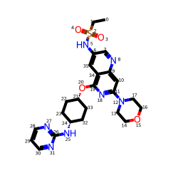 CCS(=O)(=O)Nc1cnc2cc(N3CCOCC3)nc(O[C@H]3CC[C@@H](Nc4ncccn4)CC3)c2c1